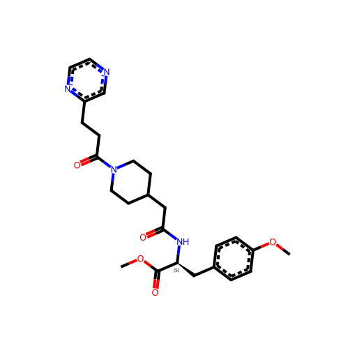 COC(=O)[C@H](Cc1ccc(OC)cc1)NC(=O)CC1CCN(C(=O)CCc2cnccn2)CC1